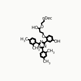 CCCCCCCCCCCCOC(O)CCOc1ccc(O)cc1-c1nc(-c2ccc(C)cc2C)nc(-c2ccc(C)cc2C)n1